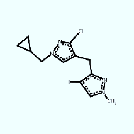 Cn1cc(I)c(Cc2cn(CC3CC3)nc2Cl)n1